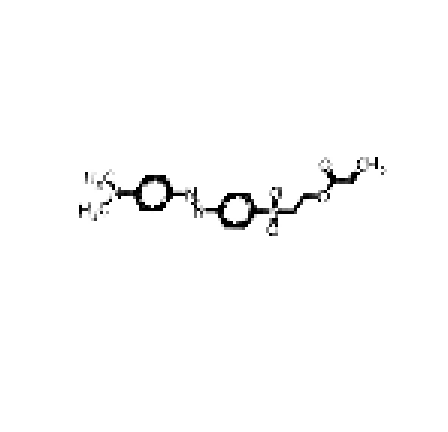 C=CC(=O)OCCS(=O)(=O)c1ccc(/N=N/c2ccc(N(C)C)cc2)cc1